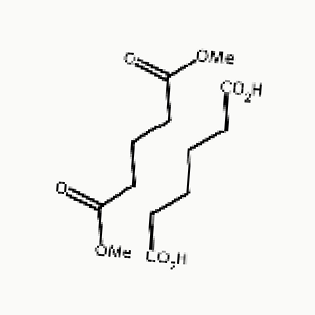 COC(=O)CCCC(=O)OC.O=C(O)CCCCC(=O)O